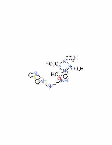 CN1/C(=C/c2cc[n+](CCC[N+](C)(C)CCCCCC(=O)Nc3ccc(CC4CN(CC(=O)O)CCN(CC(=O)O)CCN(CC(=O)O)CCN4CC(=O)O)cc3)c3ccccc23)Sc2ccccc21